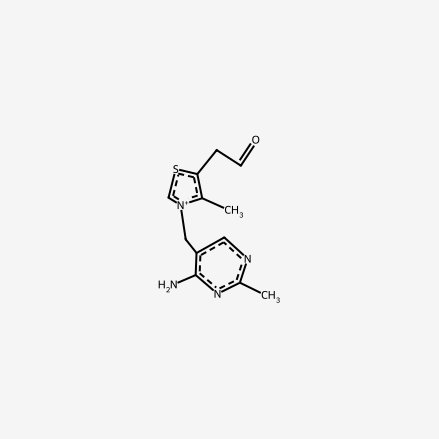 Cc1ncc(C[n+]2csc(CC=O)c2C)c(N)n1